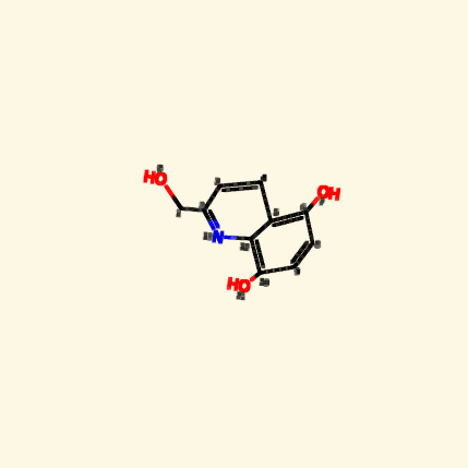 OCc1ccc2c(O)ccc(O)c2n1